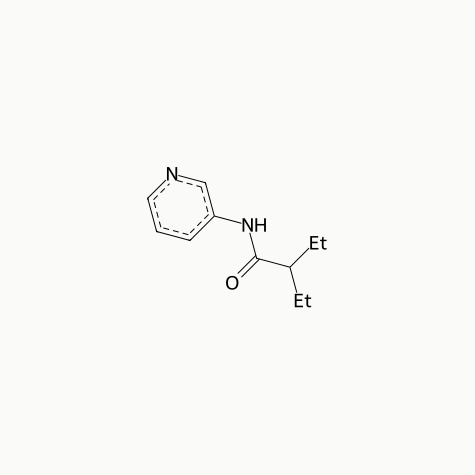 CCC(CC)C(=O)Nc1cccnc1